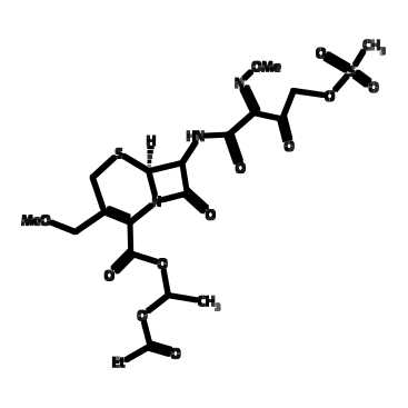 CCC(=O)OC(C)OC(=O)C1=C(COC)CS[C@H]2C(NC(=O)C(=NOC)C(=O)COS(C)(=O)=O)C(=O)N12